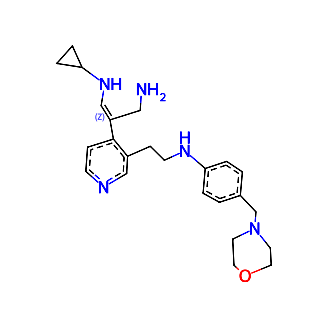 NC/C(=C\NC1CC1)c1ccncc1CCNc1ccc(CN2CCOCC2)cc1